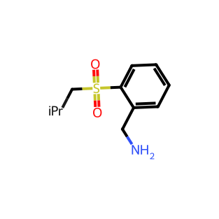 CC(C)CS(=O)(=O)c1ccccc1CN